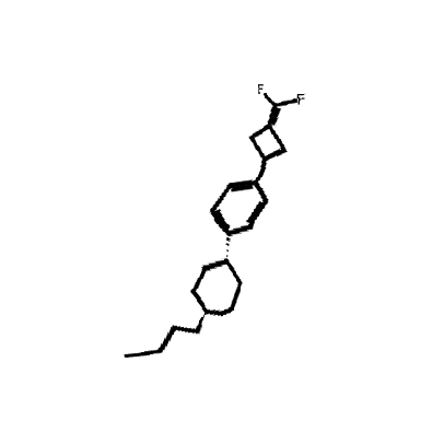 CCCC[C@H]1CC[C@H](c2ccc(C3CC(=C(F)F)C3)cc2)CC1